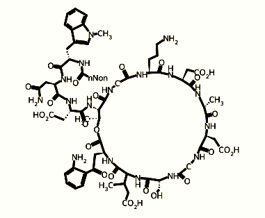 CCCCCCCCCC(=O)N[C@@H](Cc1cn(C)c2ccccc12)C(=O)N[C@H](CC(N)=O)C(=O)N[C@@H](CC(=O)O)C(=O)N[C@@H]1C(=O)NCC(=O)N[C@@H](CCCN)C(=O)N[C@@H](CC(=O)O)C(=O)N[C@H](C)C(=O)N[C@@H](CC(=O)O)C(=O)NCC(=O)N[C@H](CO)C(=O)NC(C(C)CC(=O)O)C(=O)N[C@@H](CC(=O)c2ccccc2N)C(=O)O[C@@H]1C